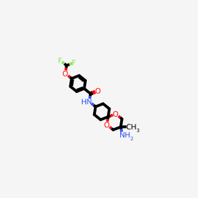 CC1(N)COC2(CCC(NC(=O)c3ccc(OC(F)F)cc3)CC2)OC1